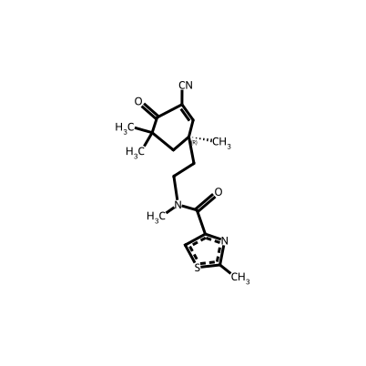 Cc1nc(C(=O)N(C)CC[C@]2(C)C=C(C#N)C(=O)C(C)(C)C2)cs1